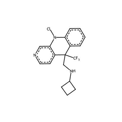 FC(F)(F)C1(CNC2CCC2)c2ccccc2N(Cl)c2cnccc21